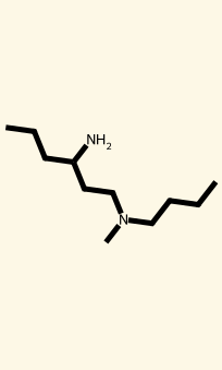 CCCCN(C)CCC(N)CCC